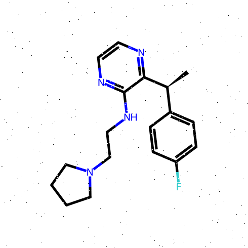 C[C@@H](c1ccc(F)cc1)c1nccnc1NCCN1CCCC1